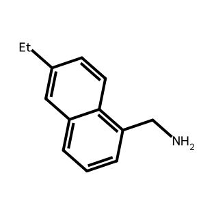 CCc1ccc2c(CN)cccc2c1